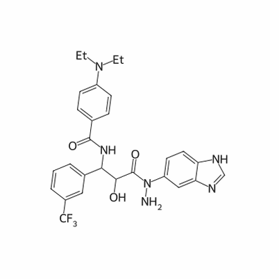 CCN(CC)c1ccc(C(=O)NC(c2cccc(C(F)(F)F)c2)C(O)C(=O)N(N)c2ccc3[nH]cnc3c2)cc1